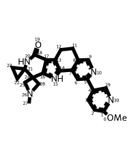 COc1ccc(-c2cc3c(cn2)CCc2c-3[nH]c3c2C(=O)NC2(CC2)C32CN(C)C2)cn1